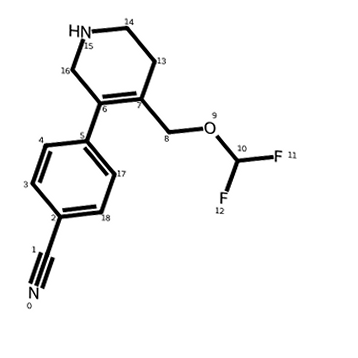 N#Cc1ccc(C2=C(COC(F)F)CCNC2)cc1